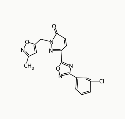 Cc1cc(Cn2nc(-c3nc(-c4cccc(Cl)c4)no3)ccc2=O)on1